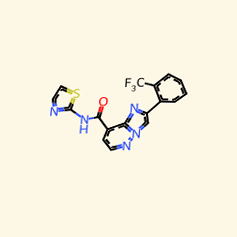 O=C(Nc1nccs1)c1ccnn2cc(-c3ccccc3C(F)(F)F)nc12